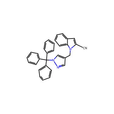 N#Cc1cc2ccccc2n1Cc1cnn(C(c2ccccc2)(c2ccccc2)c2ccccc2)c1